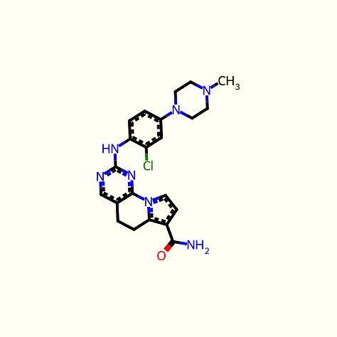 CN1CCN(c2ccc(Nc3ncc4c(n3)-n3ccc(C(N)=O)c3CC4)c(Cl)c2)CC1